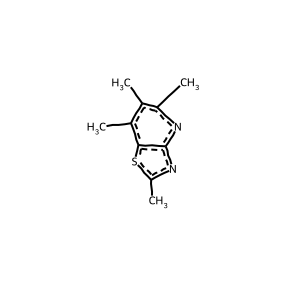 Cc1nc2nc(C)c(C)c(C)c2s1